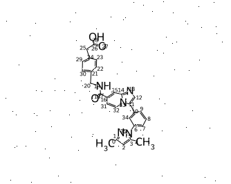 Cc1cc(C)n(-c2cccc(-c3cnc4cc(C(=O)NCc5ccc(CC(=O)O)cc5)ccn34)c2)n1